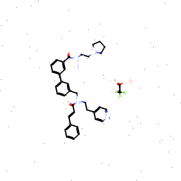 O=C(NCCN1CCCC1)c1cccc(-c2cccc(CN(CCc3ccncc3)C(=O)/C=C/c3ccccc3)c2)c1.O=C(O)C(F)(F)F